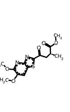 COC(=O)[C@@H](C)CC(=O)c1nc2nc(OC)c(OC)cc2s1